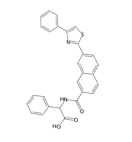 O=C(NC(C(=O)O)c1ccccc1)c1ccc2ccc(-c3nc(-c4ccccc4)cs3)cc2c1